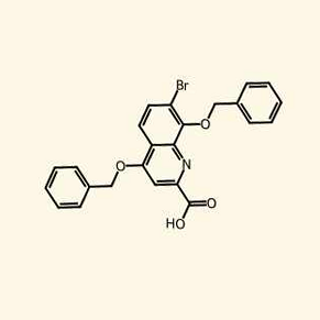 O=C(O)c1cc(OCc2ccccc2)c2ccc(Br)c(OCc3ccccc3)c2n1